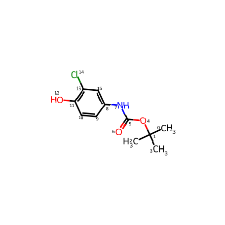 CC(C)(C)OC(=O)Nc1ccc(O)c(Cl)c1